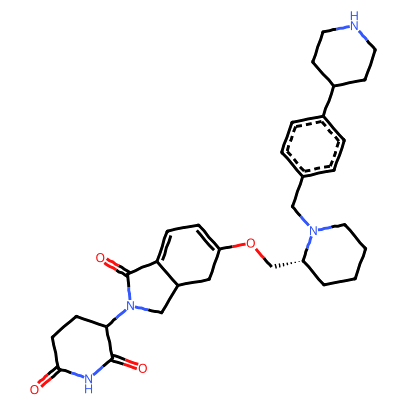 O=C1CCC(N2CC3CC(OC[C@H]4CCCCN4Cc4ccc(C5CCNCC5)cc4)=CC=C3C2=O)C(=O)N1